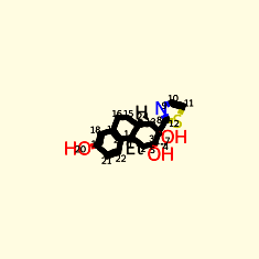 CC[C@@]12C[C@](C)(O)[C@@](O)(c3nccs3)C[C@H]1CCc1cc(O)ccc12